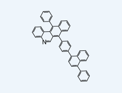 c1ccc(-c2ccc(-c3ccc(-c4c5ccccc5c(-c5ccccc5)c5c4cnc4ccccc45)cc3)c3ccccc23)cc1